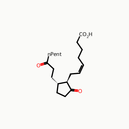 CCCCCC(=O)CC[C@H]1CCC(=O)[C@@H]1C/C=C\CCCC(=O)O